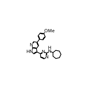 COc1ccc(-c2cnc3[nH]cc(-c4ccnc(NC5CCCCCC5)n4)c3c2)cc1